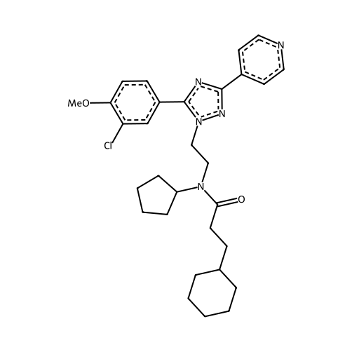 COc1ccc(-c2nc(-c3ccncc3)nn2CCN(C(=O)CCC2CCCCC2)C2CCCC2)cc1Cl